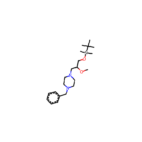 COC(CO[Si](C)(C)C(C)(C)C)CN1CCN(Cc2ccccc2)CC1